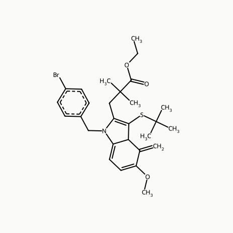 C=C1C(OC)=CC=C2C1C(SC(C)(C)C)=C(CC(C)(C)C(=O)OCC)N2Cc1ccc(Br)cc1